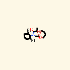 CCc1cccc(CC)c1N(CC1OCCCCO1)C(=O)C(C)Br